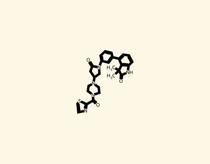 CC1(C)C(=O)Nc2cccc(-c3cccc(N4CC(N5CCN(C(=O)c6nccs6)CC5)CC4=O)c3)c21